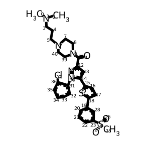 CN(C)CCCN1CCN(C(=O)c2cc(-c3ccc(-c4cccc(S(C)(=O)=O)c4)s3)n(-c3ccccc3Cl)n2)CC1